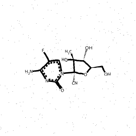 C[C@@]1(O)[C@H](O)[C@@H](CO)O[C@@]1(C#N)n1cc(F)c(N)nc1=O